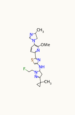 COc1nc(-c2nc(NC3CC(C4(C)CC4)=NN3CCF)cs2)ccc1N1C=NC(C)C1